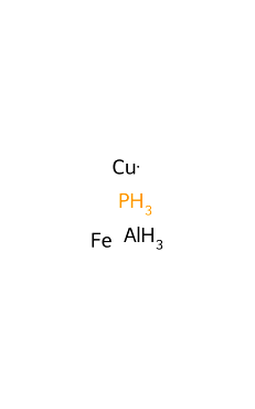 P.[AlH3].[Cu].[Fe]